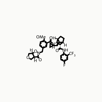 COc1ccc(CN2O[C@H]3COC[C@H]3C2=O)cc1C(=O)N[C@H]1[C@@H](C(=O)Nc2ccc(F)cc2C(F)(F)F)[C@H]2CC[C@@H]1/C2=C\C1CC1